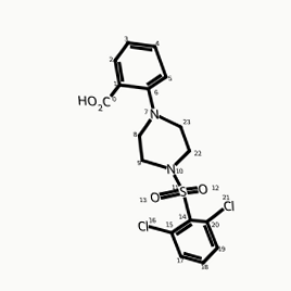 O=C(O)c1ccccc1N1CCN(S(=O)(=O)c2c(Cl)cccc2Cl)CC1